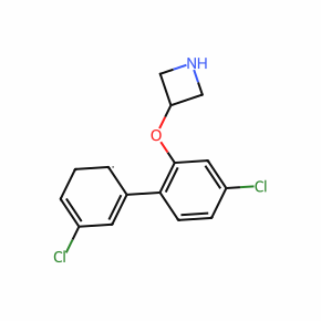 ClC1=CC[CH]C(c2ccc(Cl)cc2OC2CNC2)=C1